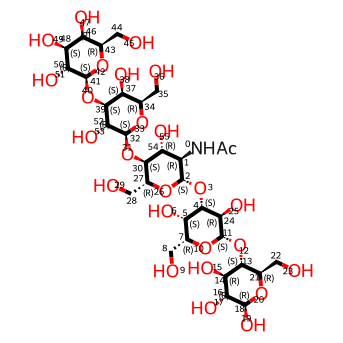 CC(=O)N[C@H]1[C@H](O[C@H]2[C@@H](O)[C@@H](CO)O[C@@H](O[C@H]3[C@H](O)[C@@H](O)[C@H](O)O[C@@H]3CO)[C@@H]2O)O[C@H](CO)[C@@H](O[C@@H]2O[C@H](CO)[C@H](O)[C@H](O[C@@H]3O[C@H](CO)[C@H](O)[C@H](O)[C@H]3O)[C@H]2O)[C@@H]1O